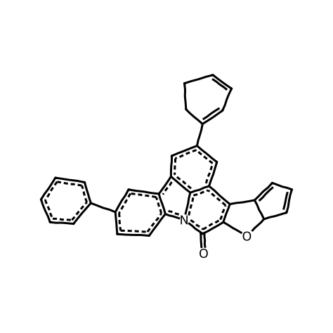 O=c1c2c(c3cc(C4=CC=CCC4)cc4c5cc(-c6ccccc6)ccc5n1c34)C1=CC=CC1O2